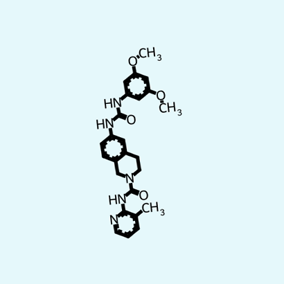 COc1cc(NC(=O)Nc2ccc3c(c2)CCN(C(=O)Nc2ncccc2C)C3)cc(OC)c1